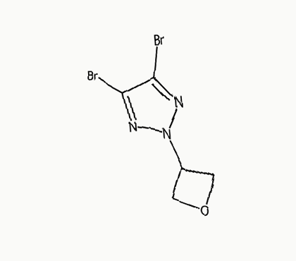 Brc1nn(C2COC2)nc1Br